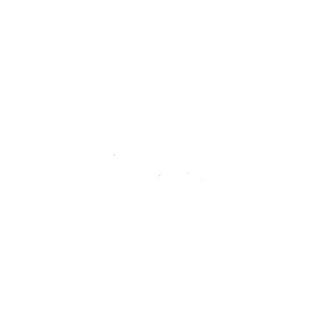 CCC(C)C(=O)C(C)OC(C)(CC)C(=O)N(C)C(C)(C)CC